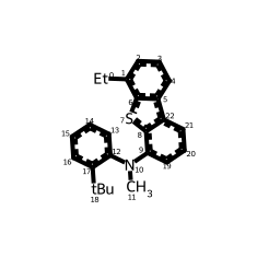 CCc1cccc2c1sc1c(N(C)c3ccccc3C(C)(C)C)cccc12